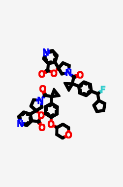 O=C1OC2(CCN(C(=O)C3(c4ccc(C(F)C5CCCC5)cc4)CC3)C2)c2ccncc21.O=C1OC2(CCN(C(=O)C3(c4ccc(OC5CCOCC5)cc4)CC3)C2)c2ccncc21